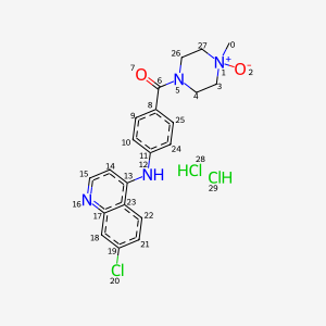 C[N+]1([O-])CCN(C(=O)c2ccc(Nc3ccnc4cc(Cl)ccc34)cc2)CC1.Cl.Cl